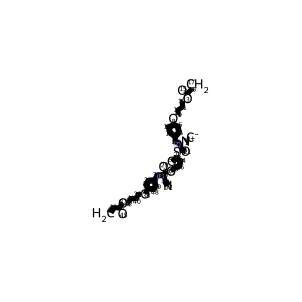 [C-]#[N+]/C(=C\c1ccc(OCCCCOC(=O)C=C)cc1)C(=O)Sc1ccc(OC(=O)/C(C#N)=C/c2ccc(OCCCCOC(=O)C=C)cc2)o1